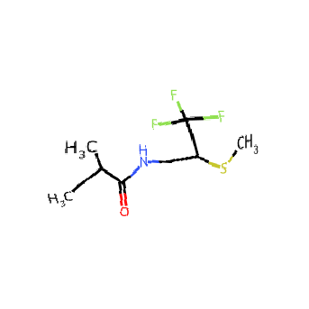 CSC(CNC(=O)C(C)C)C(F)(F)F